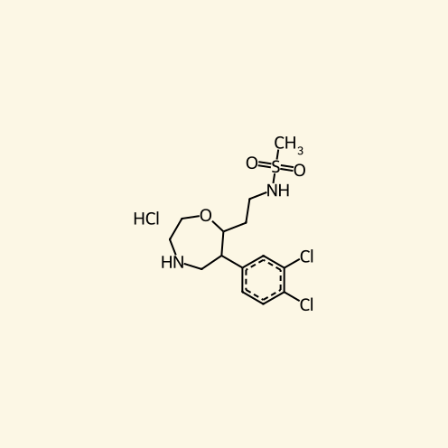 CS(=O)(=O)NCCC1OCCNCC1c1ccc(Cl)c(Cl)c1.Cl